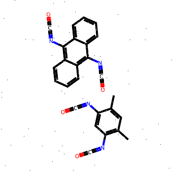 Cc1cc(C)c(N=C=O)cc1N=C=O.O=C=Nc1c2ccccc2c(N=C=O)c2ccccc12